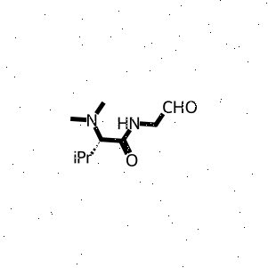 CC(C)[C@@H](C(=O)NCC=O)N(C)C